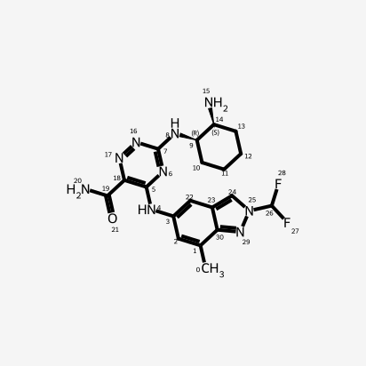 Cc1cc(Nc2nc(N[C@@H]3CCCC[C@@H]3N)nnc2C(N)=O)cc2cn(C(F)F)nc12